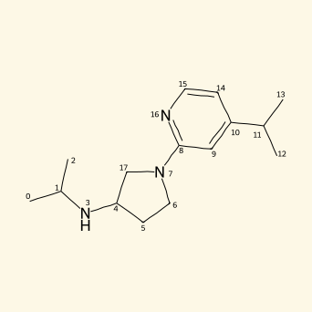 CC(C)NC1CCN(c2cc(C(C)C)ccn2)C1